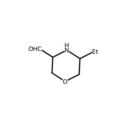 CCC1COCC(C=O)N1